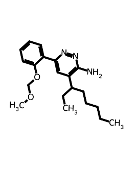 CCCCCC(CC)c1cc(-c2ccccc2OCOC)nnc1N